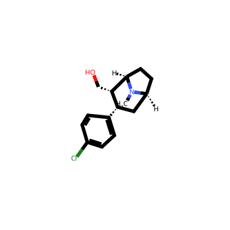 CN1[C@H]2CC[C@@H]1[C@@H](CO)[C@@H](c1ccc(Cl)cc1)C2